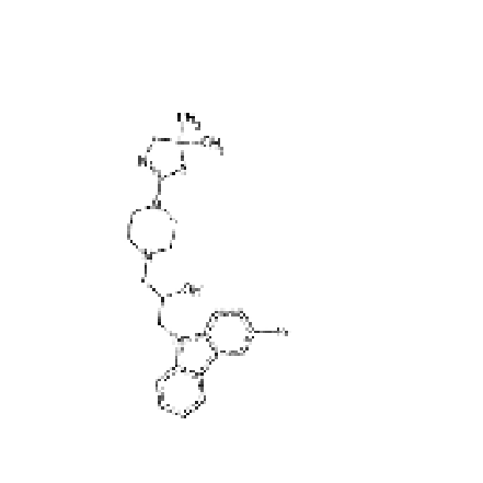 CC1(C)CN=C(N2CCN(CC(O)Cn3c4ccccc4c4cc(Br)ccc43)CC2)S1